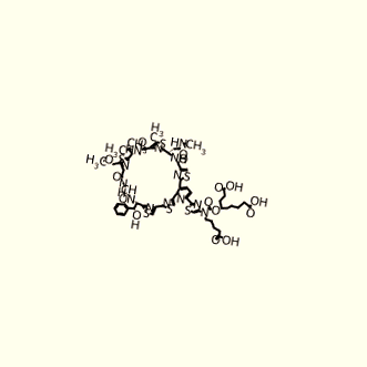 CNC(=O)C[C@@H]1NC(=O)c2csc(n2)-c2ccc(-c3nc(N(CCCCC(=O)O)C(=O)OC(CCCCC(=O)O)CCC(=O)O)cs3)nc2-c2csc(n2)-c2csc(n2)[C@H]([C@@H](O)c2ccccc2)NC(=O)CNC(=O)c2nc(sc2COC)C(C(C)C)NC(=O)c2nc1sc2C